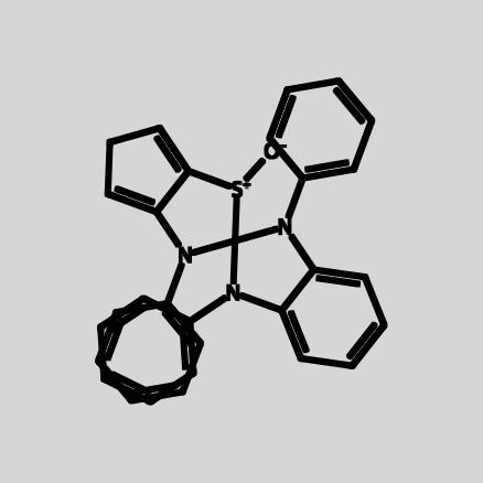 [O-][S+]1C2=CCC=C2N(c2ccccc2)C12N(c1ccccc1)c1ccccc1N2c1ccccc1